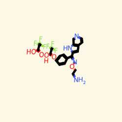 NCCON=C(c1ccccc1)c1cc2ccncc2[nH]1.O=C(O)C(F)(F)F.O=C(O)C(F)(F)F